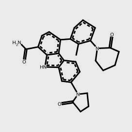 Cc1c(-c2ccc(C(N)=O)c3[nH]c4cc(N5CCCC5=O)ccc4c23)cccc1N1CCCCC1=O